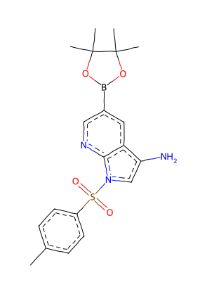 Cc1ccc(S(=O)(=O)n2cc(N)c3cc(B4OC(C)(C)C(C)(C)O4)cnc32)cc1